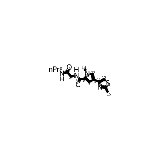 CCCNC(=O)CNC(=O)c1cc(-c2csc(C)n2)cn1C